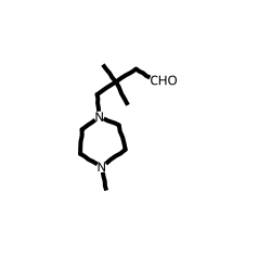 CN1CCN(CC(C)(C)CC=O)CC1